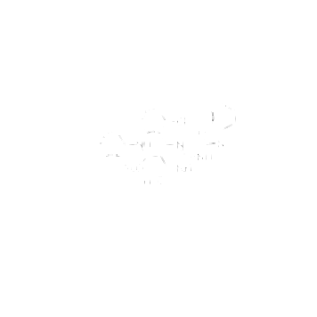 CC(=O)c1ccccc1NC(=O)C1=C(C)NC(Nc2nc3ccccc3o2)=NC1c1ccccc1Cl